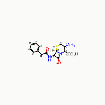 NC1=C(C(=O)O)N2C(=O)C(NC(=O)Cc3ccccc3)[C@H]2SC1